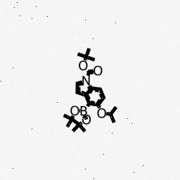 CC(C)Oc1ccc2c(ccn2C(=O)OC(C)(C)C)c1B1OC(C)(C)C(C)(C)O1